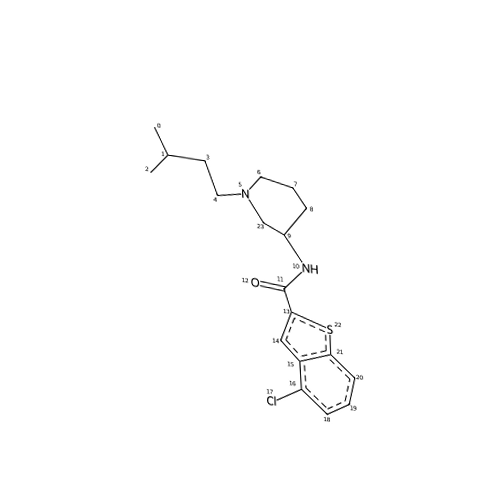 CC(C)CCN1CCCC(NC(=O)c2cc3c(Cl)cccc3s2)C1